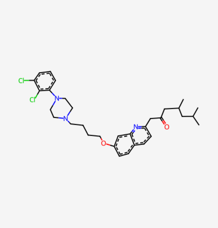 CC(C)CC(C)CC(=O)Cc1ccc2ccc(OCCCCN3CCN(c4cccc(Cl)c4Cl)CC3)cc2n1